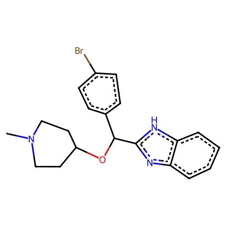 CN1CCC(OC(c2ccc(Br)cc2)c2nc3ccccc3[nH]2)CC1